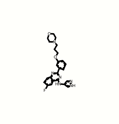 Fc1ccc2nc(-c3cccc(OCCCN4CCOCC4)c3)nc(Nc3cn[nH]c3)c2c1